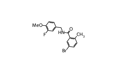 COc1ccc(CNC(=O)c2cc(Br)ccc2C)cc1F